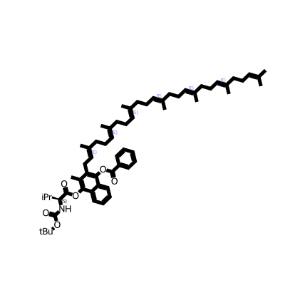 CC(C)=CCC/C(C)=C/CC/C(C)=C/CC/C(C)=C/CC/C(C)=C/CC/C(C)=C/CC/C(C)=C/Cc1c(C)c(OC(=O)[C@@H](NC(=O)OC(C)(C)C)C(C)C)c2ccccc2c1OC(=O)c1ccccc1